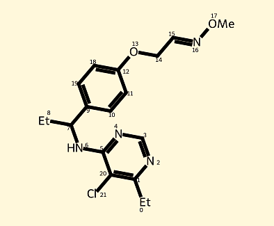 CCc1ncnc(NC(CC)c2ccc(OCC=NOC)cc2)c1Cl